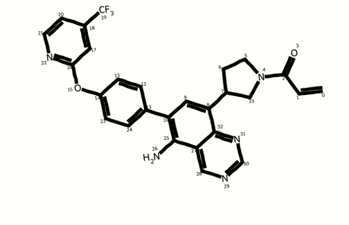 C=CC(=O)N1CCC(c2cc(-c3ccc(Oc4cc(C(F)(F)F)ccn4)cc3)c(N)c3cncnc23)C1